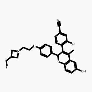 CC1=C(c2ccc(C#N)cc2Cl)C(c2ccc(OCCN3CC(CF)C3)cc2)Oc2ccc(O)cc21